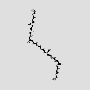 O=C(CSCSCC[S+]([O-])CSCSCO)SCCSCSCC[S+]([O-])CCSCSCC(=O)SCSCSCO